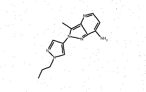 CCCn1cc(-n2nc3c(N)ccnc3c2C)cn1